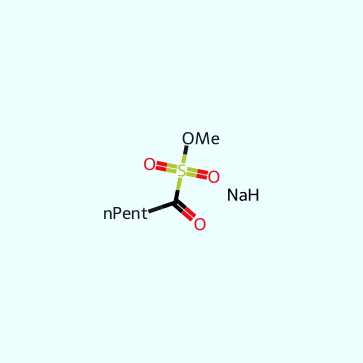 CCCCCC(=O)S(=O)(=O)OC.[NaH]